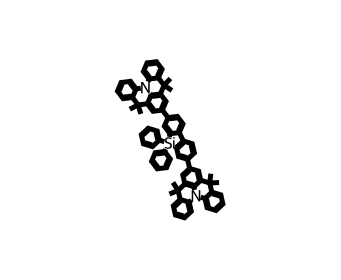 CC1(C)c2ccccc2N2c3ccccc3C(C)(C)c3cc(-c4ccc5c(c4)[Si](c4ccccc4)(c4ccccc4)c4cc(-c6cc7c8c(c6)C(C)(C)c6ccccc6N8c6ccccc6C7(C)C)ccc4-5)cc1c32